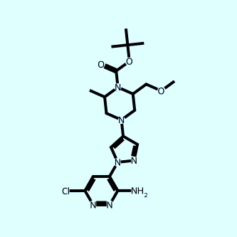 COCC1CN(c2cnn(-c3cc(Cl)nnc3N)c2)CC(C)N1C(=O)OC(C)(C)C